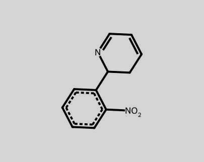 O=[N+]([O-])c1ccccc1C1CC=CC=N1